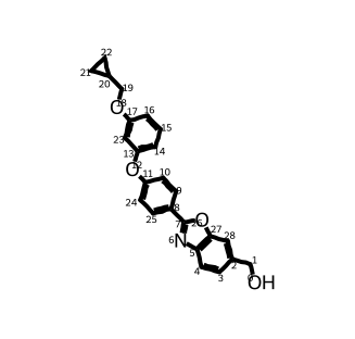 OCc1ccc2nc(-c3ccc(Oc4cccc(OCC5CC5)c4)cc3)oc2c1